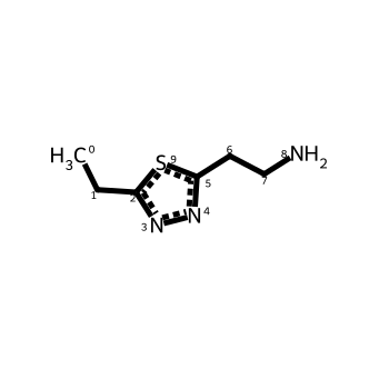 CCc1nnc(CCN)s1